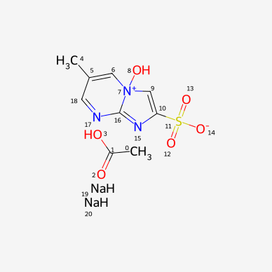 CC(=O)O.CC1=C[N+]2(O)C=C(S(=O)(=O)[O-])N=C2N=C1.[NaH].[NaH]